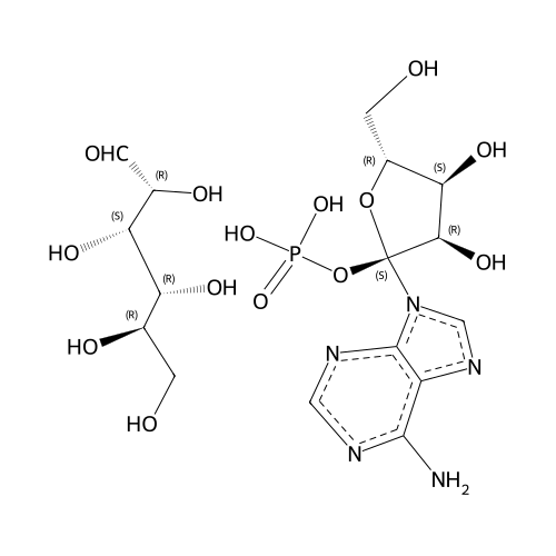 Nc1ncnc2c1ncn2[C@]1(OP(=O)(O)O)O[C@H](CO)[C@@H](O)[C@H]1O.O=C[C@H](O)[C@@H](O)[C@H](O)[C@H](O)CO